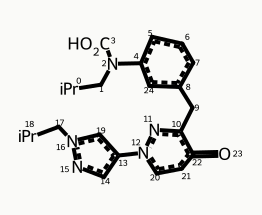 CC(C)CN(C(=O)O)c1cccc(Cc2nn(-c3cnn(CC(C)C)c3)ccc2=O)c1